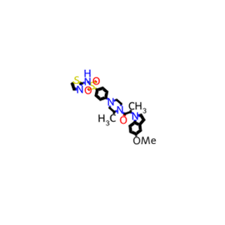 COc1ccc2c(ccn2C(C)C(=O)N2CCN(c3ccc(S(=O)(=O)Nc4nccs4)cc3)CC2C)c1